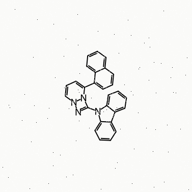 c1ccc2c(-c3cccn4nc(-n5c6ccccc6c6ccccc65)n34)cccc2c1